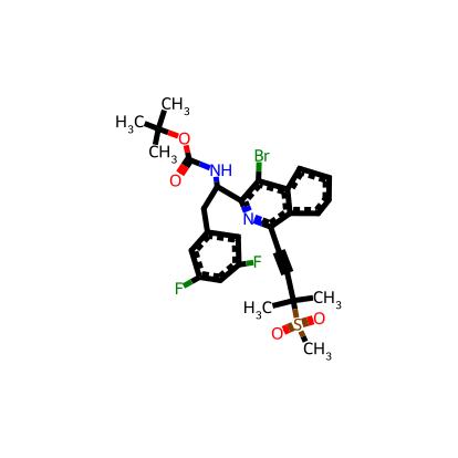 CC(C)(C)OC(=O)NC(Cc1cc(F)cc(F)c1)c1nc(C#CC(C)(C)S(C)(=O)=O)c2ccccc2c1Br